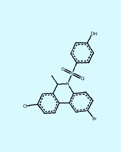 CC1c2cc(Cl)ccc2-c2cc(Br)ccc2N1S(=O)(=O)c1ccc(O)cc1